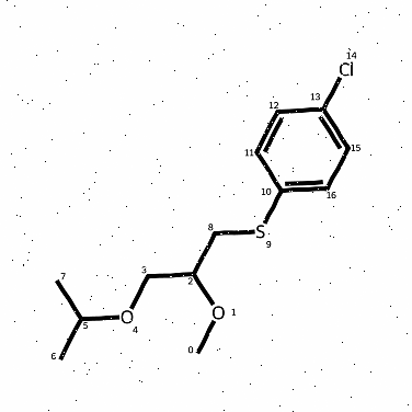 COC(COC(C)C)CSc1ccc(Cl)cc1